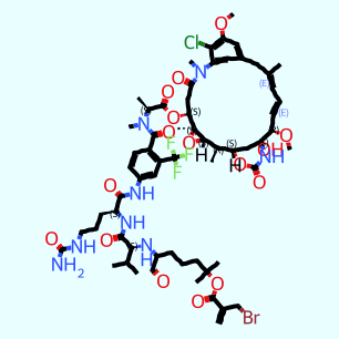 C=C(CBr)C(=O)OC(C)(C)CCCC(C=O)N[C@H](C(=O)N[C@@H](CCCNC(N)=O)C(=O)Nc1ccc(C(=O)N(C)[C@@H](C)C(=O)O[C@H]2CC(=O)N(C)c3cc(cc(OC)c3Cl)C/C(C)=C/C=C/[C@@H](OC)[C@@]3(O)C[C@H](OC(=O)N3)[C@@H](C)[C@@H]3O[C@@]23C)c(C(F)(F)F)c1)C(C)C